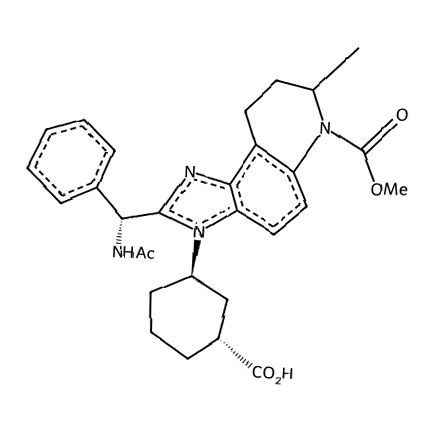 COC(=O)N1c2ccc3c(nc([C@H](NC(C)=O)c4ccccc4)n3[C@@H]3CCC[C@@H](C(=O)O)C3)c2CCC1C